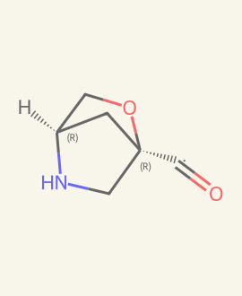 O=[C][C@@]12CN[C@@H](CO1)C2